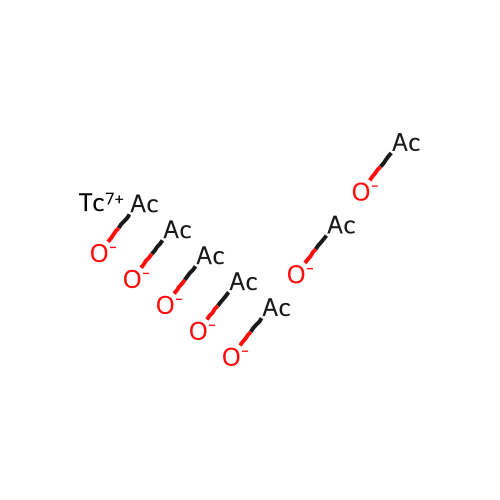 CC(=O)[O-].CC(=O)[O-].CC(=O)[O-].CC(=O)[O-].CC(=O)[O-].CC(=O)[O-].CC(=O)[O-].[Tc+7]